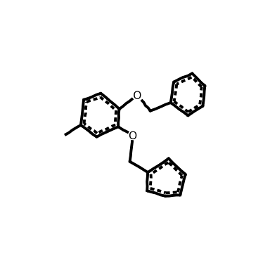 Cc1ccc(OCc2ccccc2)c(OCc2ccccc2)c1